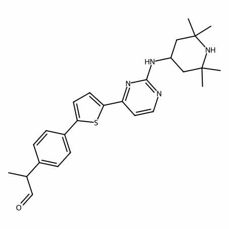 CC(C=O)c1ccc(-c2ccc(-c3ccnc(NC4CC(C)(C)NC(C)(C)C4)n3)s2)cc1